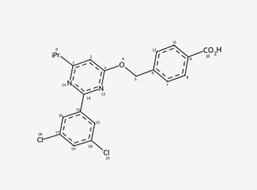 CC(C)c1cc(OCc2ccc(C(=O)O)cc2)nc(-c2cc(Cl)cc(Cl)c2)n1